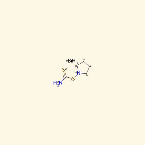 NC(=S)SN1CCCC1.[BiH3]